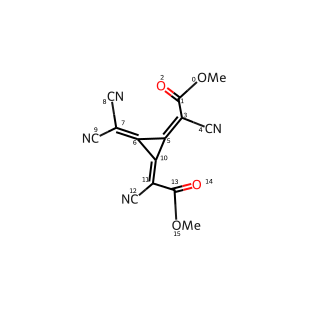 COC(=O)C(C#N)=C1C(=C(C#N)C#N)C1=C(C#N)C(=O)OC